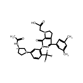 CC(=O)N[C@@H]1CCN(c2ccc(C(F)(F)F)c(-n3nc(-c4cc(C)cc(C)c4)c4c(c3=O)N(CC(=O)O)CC4)c2)C1